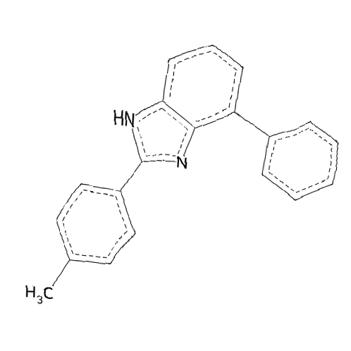 Cc1ccc(-c2nc3c(-c4ccccc4)cccc3[nH]2)cc1